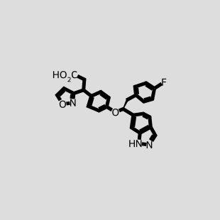 O=C(O)CC(c1ccc(O[C@@H](Cc2ccc(F)cc2)c2ccc3cn[nH]c3c2)cc1)c1ccon1